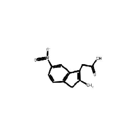 CC1=C(CC(=O)O)c2cc([N+](=O)[O-])ccc2C1